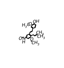 CCOc1cc(NC=O)cc(/C=C/c2ccc(O)c(OC)c2)c1CC=C(C)C